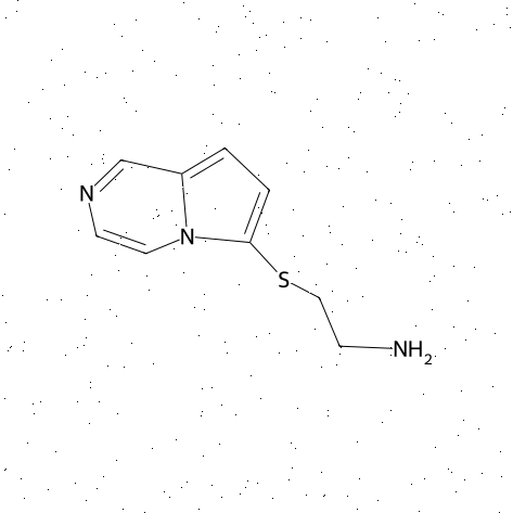 NCCSc1ccc2cnccn12